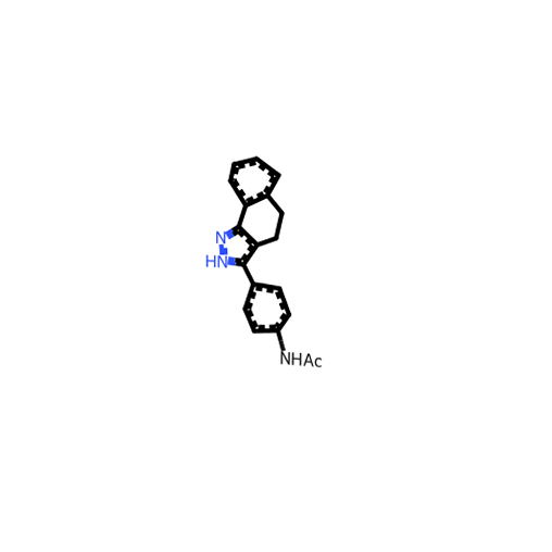 CC(=O)Nc1ccc(-c2[nH]nc3c2CCc2ccccc2-3)cc1